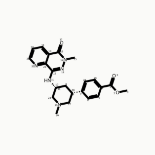 COC(=O)c1ccc([C@H]2C[C@@H](Nc3nn(C)c(=O)c4cccnc34)CN(C)C2)cc1